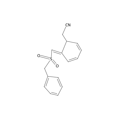 N#CCC1C=CC=CC1=CS(=O)(=O)Cc1ccccc1